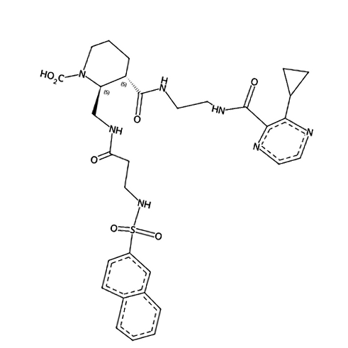 O=C(CCNS(=O)(=O)c1ccc2ccccc2c1)NC[C@@H]1[C@@H](C(=O)NCCNC(=O)c2nccnc2C2CC2)CCCN1C(=O)O